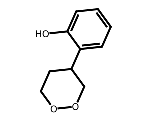 Oc1ccccc1C1CCOOC1